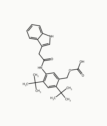 CC(C)(C)c1cc(C(C)(C)C)c(NC(=O)Cc2c[nH]c3ccccc23)cc1COC(=O)O